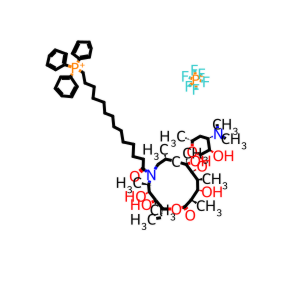 CC[C@H]1OC(=O)[C@H](C)[C@@H](O)[C@H](C)[C@@H](O[C@@H]2O[C@H](C)C[C@H](N(C)C)[C@H]2O)[C@](C)(O)C[C@@H](C)CN(C(=O)CCCCCCCCCCCCC[P+](c2ccccc2)(c2ccccc2)c2ccccc2)[C@H](C)[C@@H](O)[C@]1(C)O.F[P-](F)(F)(F)(F)F